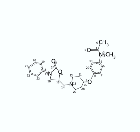 CC(=O)N(C)c1ccc(OC2CCN(CC3CN(c4ccccc4)C(=O)O3)CC2)cc1